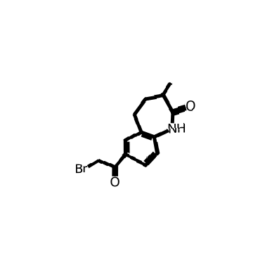 CC1CCc2cc(C(=O)CBr)ccc2NC1=O